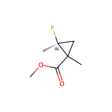 COC(=O)C1(C)C[C@]1(C)F